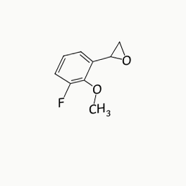 COc1c(F)cccc1C1CO1